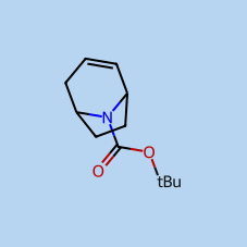 CC(C)(C)OC(=O)N1C2C=CCC1CC2